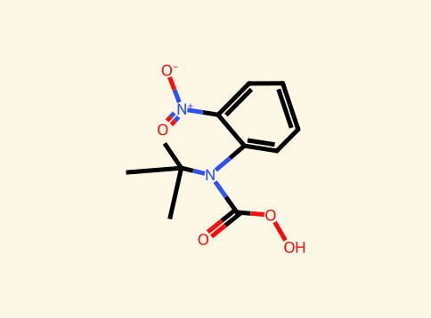 CC(C)(C)N(C(=O)OO)c1ccccc1[N+](=O)[O-]